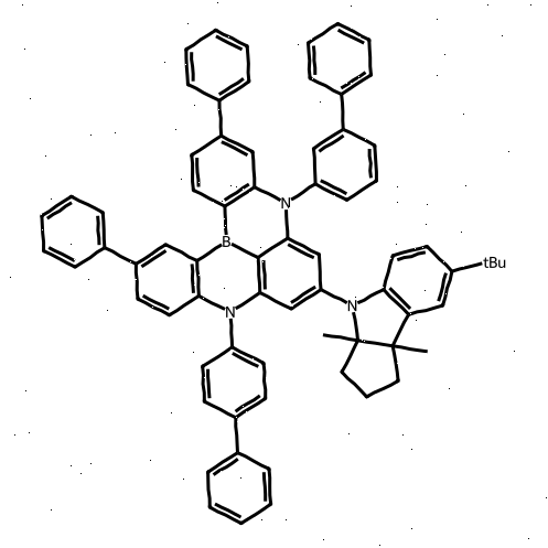 CC(C)(C)c1ccc2c(c1)C1(C)CCCC1(C)N2c1cc2c3c(c1)N(c1cccc(-c4ccccc4)c1)c1cc(-c4ccccc4)ccc1B3c1cc(-c3ccccc3)ccc1N2c1ccc(-c2ccccc2)cc1